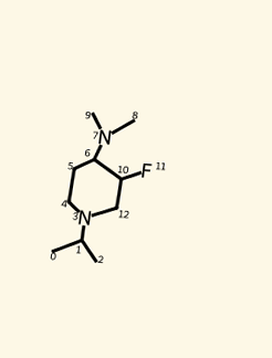 CC(C)N1CCC(N(C)C)C(F)C1